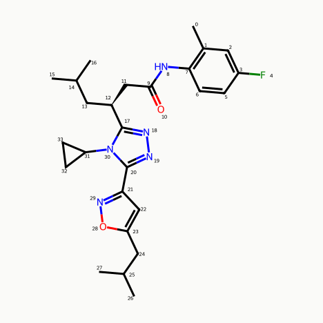 Cc1cc(F)ccc1NC(=O)C[C@H](CC(C)C)c1nnc(-c2cc(CC(C)C)on2)n1C1CC1